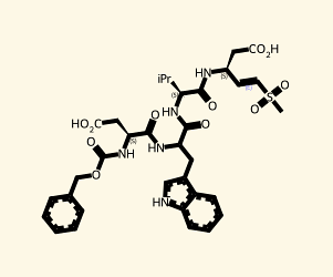 CC(C)[C@H](NC(=O)C(Cc1c[nH]c2ccccc12)NC(=O)[C@H](CC(=O)O)NC(=O)OCc1ccccc1)C(=O)N[C@H](/C=C/S(C)(=O)=O)CC(=O)O